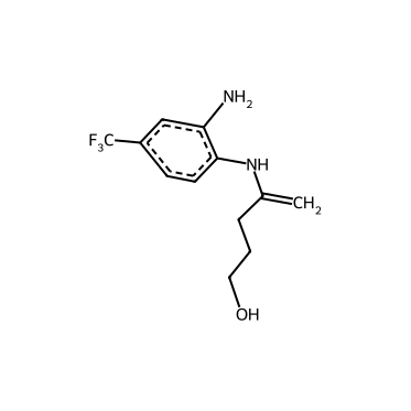 C=C(CCCO)Nc1ccc(C(F)(F)F)cc1N